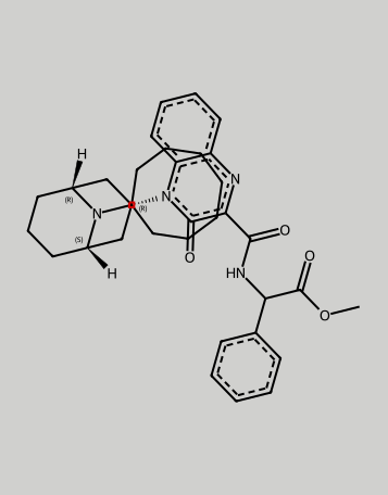 COC(=O)C(NC(=O)c1nc2ccccc2n([C@H]2C[C@H]3CCC[C@@H](C2)N3C2CCCCCCC2)c1=O)c1ccccc1